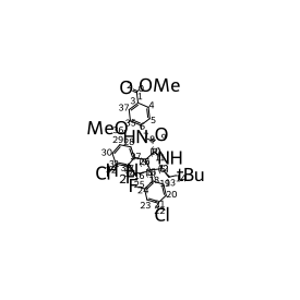 COC(=O)c1ccc(NC(=O)[C@@H]2N[C@@H](CC(C)(C)C)[C@](CN)(c3ccc(Cl)cc3F)[C@H]2c2cccc(Cl)c2F)c(OC)c1